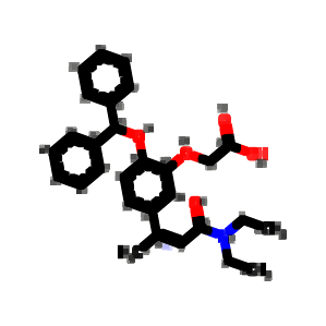 CCN(CC)C(=O)/C=C(/C)c1ccc(OC(c2ccccc2)c2ccccc2)c(OCC(=O)O)c1